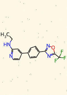 CCNc1cc(-c2ccc(-c3noc(C(F)(F)F)n3)cc2)ccn1